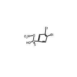 CCc1ccc(P(O)(=S)O[N+](=O)[O-])cc1CC